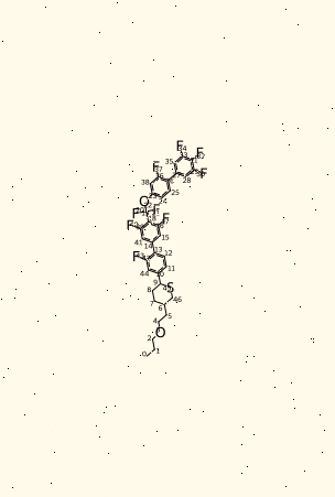 CCCOCCC1CCC(c2ccc(-c3cc(F)c(C(F)(F)Oc4ccc(-c5cc(F)c(F)c(F)c5)c(F)c4)c(F)c3)c(F)c2)SC1